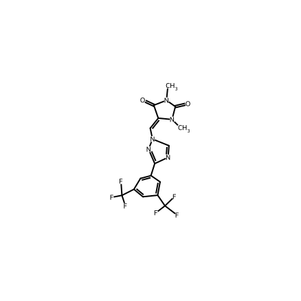 CN1C(=O)/C(=C/n2cnc(-c3cc(C(F)(F)F)cc(C(F)(F)F)c3)n2)N(C)C1=O